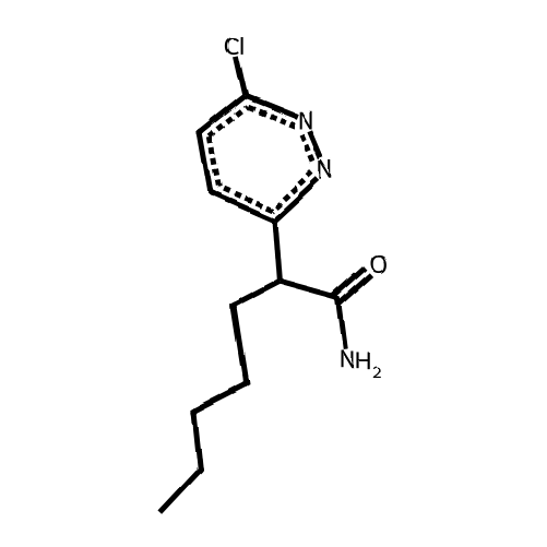 CCCCCC(C(N)=O)c1ccc(Cl)nn1